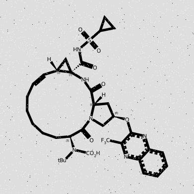 CC(C)(C)N(C(=O)O)[C@H]1CCCCCC=C[C@@H]2C[C@@]2(C(=O)NS(=O)(=O)C2CC2)NC(=O)[C@@H]2C[C@@H](Oc3nc4ccccc4nc3C(F)(F)F)CN2C1=O